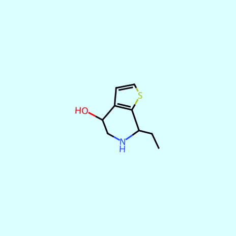 CCC1NCC(O)c2ccsc21